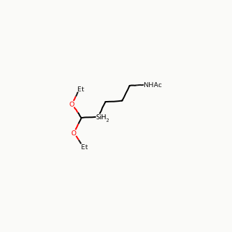 CCOC(OCC)[SiH2]CCCNC(C)=O